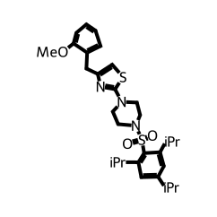 COc1ccccc1Cc1csc(N2CCN(S(=O)(=O)c3c(C(C)C)cc(C(C)C)cc3C(C)C)CC2)n1